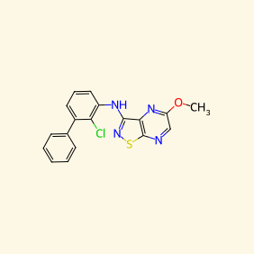 COc1cnc2snc(Nc3cccc(-c4ccccc4)c3Cl)c2n1